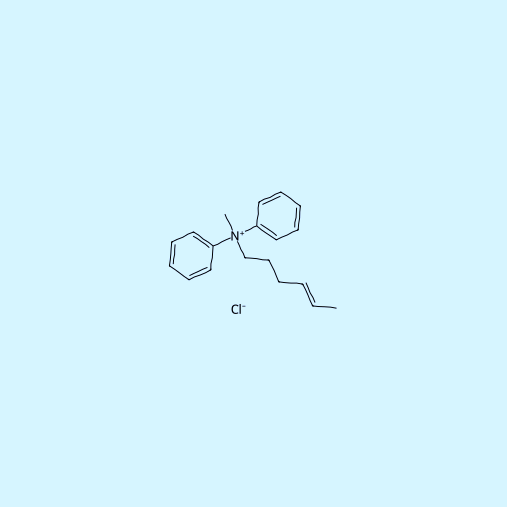 CC=CCCC[N+](C)(c1ccccc1)c1ccccc1.[Cl-]